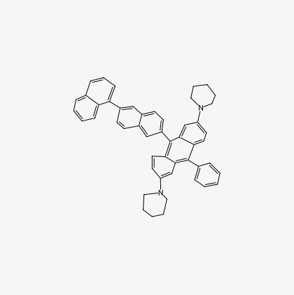 c1ccc(-c2c3ccc(N4CCCCC4)cc3c(-c3ccc4cc(-c5cccc6ccccc56)ccc4c3)c3ccc(N4CCCCC4)cc23)cc1